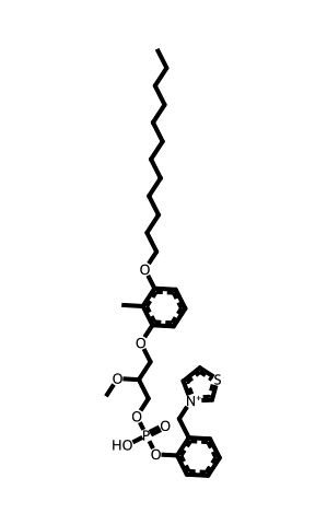 CCCCCCCCCCCCOc1cccc(OCC(COP(=O)(O)Oc2ccccc2C[n+]2ccsc2)OC)c1C